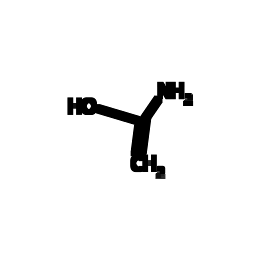 C=C(N)O